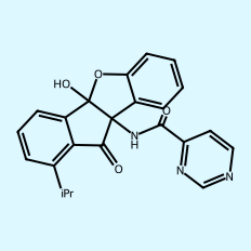 CC(C)c1cccc2c1C(=O)C1(NC(=O)c3ccncn3)c3ccccc3OC21O